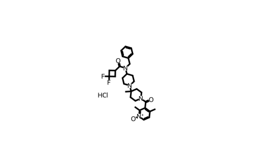 Cc1cc[n+]([O-])c(C)c1C(=O)N1CCC(C)(N2CCC(N(Cc3ccccc3)C(=O)C3CC(F)(F)C3)CC2)CC1.Cl